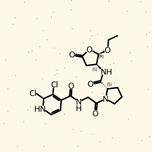 CCO[C@@H]1OC(=O)C[C@@H]1NC(=O)[C@@H]1CCCN1C(=O)CNC(=O)C1=C(Cl)C(Cl)NC=C1